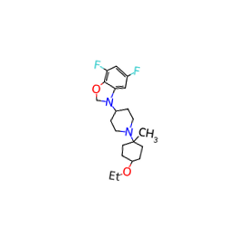 CCOC1CCC(C)(N2CCC(N3COc4c(F)cc(F)cc43)CC2)CC1